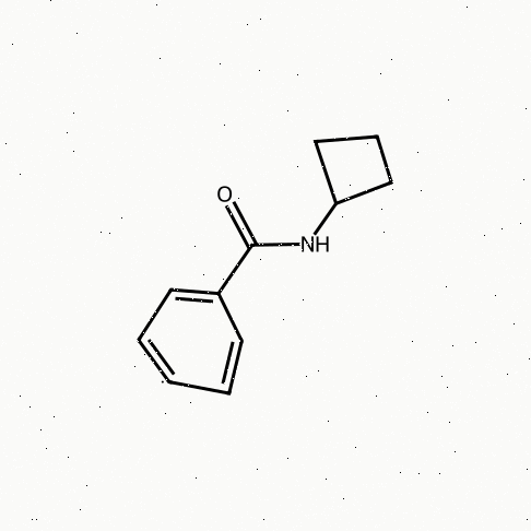 O=C(NC1CCC1)c1cc[c]cc1